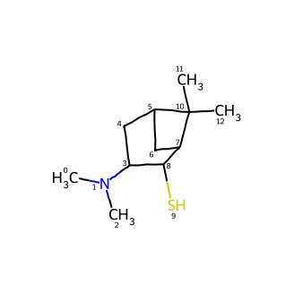 CN(C)C1CC2CC(C1S)C2(C)C